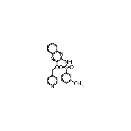 Cc1cccc(S(=O)(=O)Nc2nc3ccccc3nc2OCc2ccncc2)c1